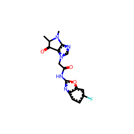 CC1C(=O)c2c(ncn2CC(=O)Nc2nc3ccc(F)cc3o2)N1C